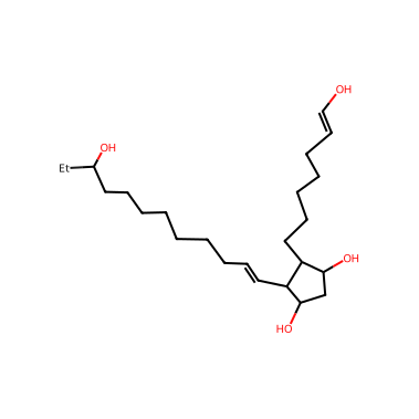 CCC(O)CCCCCCCC=CC1C(O)CC(O)C1CCCCCC=CO